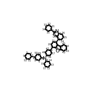 c1ccc(-c2ccc(N(c3ccccc3)c3ccc(-c4ccc(-c5cccc6nc(-c7ccccc7)sc56)c5c4oc4ccccc45)cc3)cc2)cc1